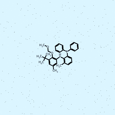 COCOc1c(Pc2c(C)cccc2P(c2ccccc2)c2ccccc2)cc(C)cc1C(C)(C)C